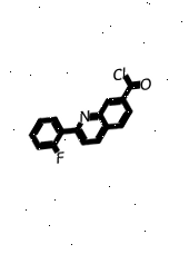 O=C(Cl)c1ccc2ccc(-c3ccccc3F)nc2c1